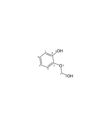 OCOc1ccccc1O